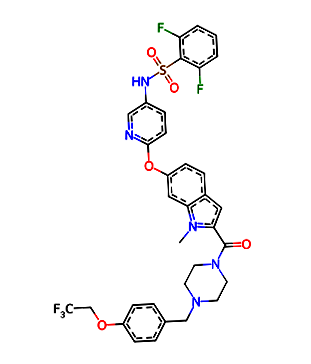 Cn1c(C(=O)N2CCN(Cc3ccc(OCC(F)(F)F)cc3)CC2)cc2ccc(Oc3ccc(NS(=O)(=O)c4c(F)cccc4F)cn3)cc21